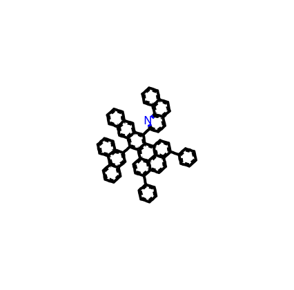 c1ccc(-c2ccc3c4c(-c5ccc6ccc7ccccc7c6n5)c5cc6ccccc6cc5c(-c5cc6ccccc6c6ccccc56)c4c4ccc(-c5ccccc5)c5ccc2c3c54)cc1